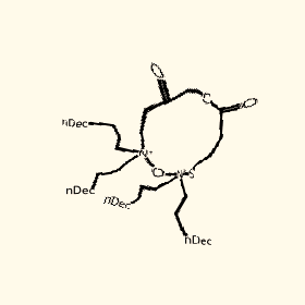 CCCCCCCCCCCC[N+]1(CCCCCCCCCCCC)CCC(=O)CCC(=O)CCS[N+](CCCCCCCCCCCC)(CCCCCCCCCCCC)O1